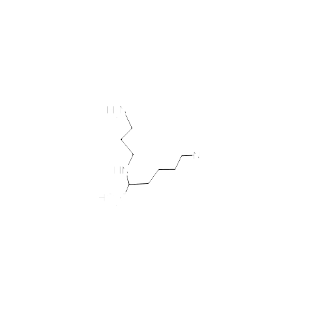 NCCCCC(NCCCN)C(=O)O